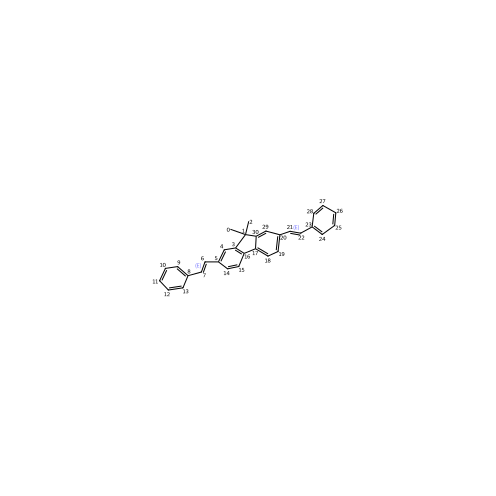 CC1(C)c2cc(/C=C/c3ccccc3)ccc2-c2ccc(/C=C/c3ccccc3)cc21